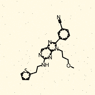 COCCCn1c(-c2cccc(C#N)c2)nc2cnc(NCCc3cccs3)nc21